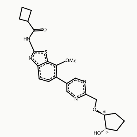 COc1c(-c2cnc(CO[C@H]3CCC[C@@H]3O)nc2)ccc2nc(NC(=O)C3CCC3)sc12